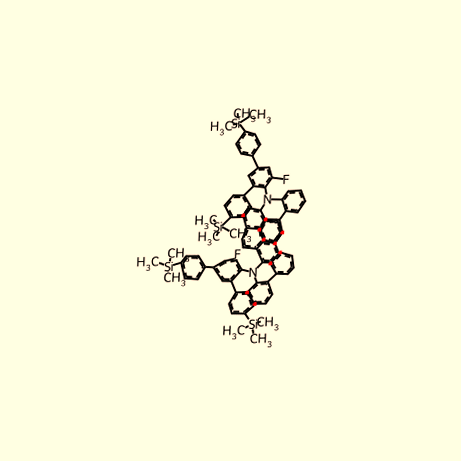 C[Si](C)(C)c1ccc(-c2cc(F)c(N(c3ccccc3-c3ccccc3)c3ccc4ccc5c(N(c6ccccc6-c6ccccc6)c6c(F)cc(-c7ccc([Si](C)(C)C)cc7)cc6-c6ccc([Si](C)(C)C)cc6)ccc6ccc3c4c65)c(-c3ccc([Si](C)(C)C)cc3)c2)cc1